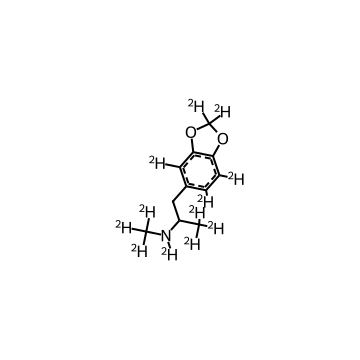 [2H]c1c([2H])c2c(c([2H])c1CC(N([2H])C([2H])([2H])[2H])C([2H])([2H])[2H])OC([2H])([2H])O2